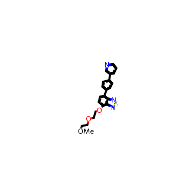 COCCOCCOc1ccc(-c2ccc(-c3cccnc3)cc2)c2nsnc12